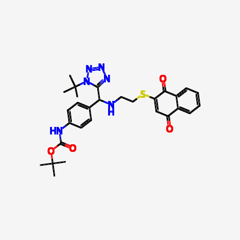 CC(C)(C)OC(=O)Nc1ccc(C(NCCSC2=CC(=O)c3ccccc3C2=O)c2nnnn2C(C)(C)C)cc1